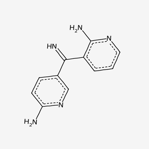 N=C(c1ccc(N)nc1)c1cccnc1N